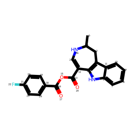 CC1Cc2c([nH]c3ccccc23)C(C(=O)OC(=O)c2ccc(F)cc2)=CN1